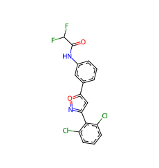 O=C(Nc1cccc(-c2cc(-c3c(Cl)cccc3Cl)no2)c1)C(F)F